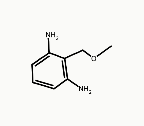 COCc1c(N)cccc1N